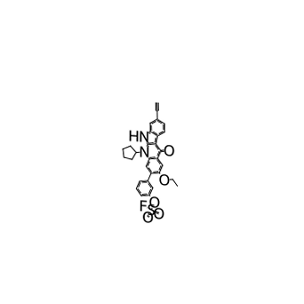 C#Cc1ccc2c(c1)[nH]c1c2c(=O)c2cc(OCC)c(-c3cccc(OS(=O)(=O)F)c3)cc2n1C1CCCC1